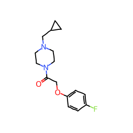 O=C(COc1ccc(F)cc1)N1CCN(CC2CC2)CC1